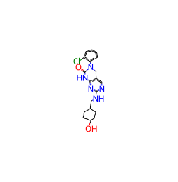 O=C1Nc2nc(NCC3CCC(O)CC3)ncc2CN1c1ccccc1Cl